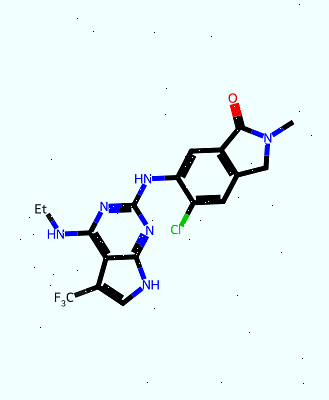 CCNc1nc(Nc2cc3c(cc2Cl)CN(C)C3=O)nc2[nH]cc(C(F)(F)F)c12